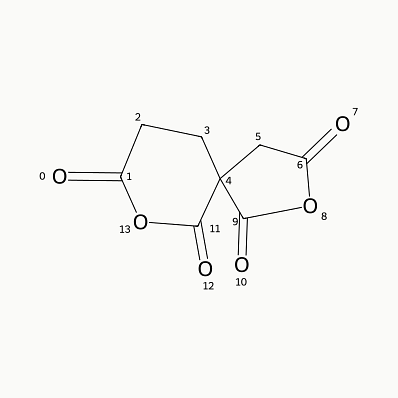 O=C1CCC2(CC(=O)OC2=O)C(=O)O1